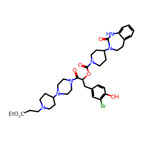 CCOC(=O)CCN1CCC(N2CCN(C(=O)C(Cc3ccc(O)c(Br)c3)OC(=O)N3CCC(N4CCc5ccccc5NC4=O)CC3)CC2)CC1